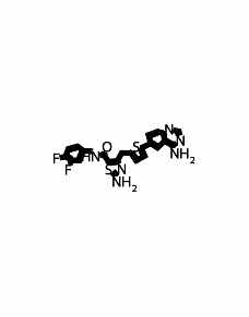 Nc1nc(Cc2ccc(-c3ccc4ncnc(N)c4c3)s2)c(C(=O)NCc2ccc(F)c(F)c2)s1